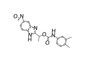 Cc1ccc(NC(=O)OC(C)c2nc3cc([N+](=O)[O-])ccc3[nH]2)cc1C